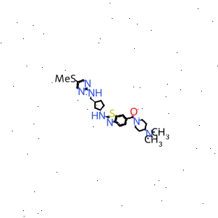 CSc1cnc(NC[C@H]2CC[C@H](Nc3nc4ccc(C(=O)N5CCC(N(C)C)CC5)cc4s3)C2)nc1